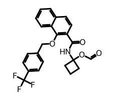 O=COC1(NC(=O)c2ccc3ccccc3c2OCc2ccc(C(F)(F)F)cc2)CCC1